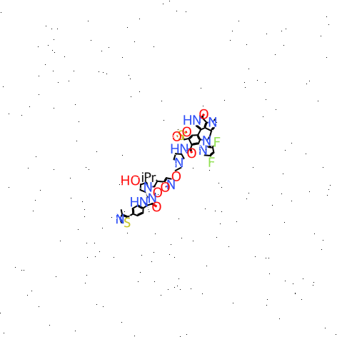 Cc1ncsc1-c1ccc([C@@]2(C)NC([C@@H]3C[C@@H](O)CN3C(=O)C(c3cc(OCCN4CC[C@H](NC(=O)c5cc6c(cc5CS(C)(=O)=O)-c5c[nH]c(=O)c7c5c(cn7C)CN6c5ncc(F)cc5F)C4)no3)C(C)C)=NC2=O)cc1